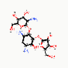 NC1[C@@H](O[C@@H]2C(N)C[C@@H](N)C(O)[C@H]2O[C@@H]2O[C@H](CO)[C@H](O)C2O)OC(CO)[C@@H](O)[C@@H]1O